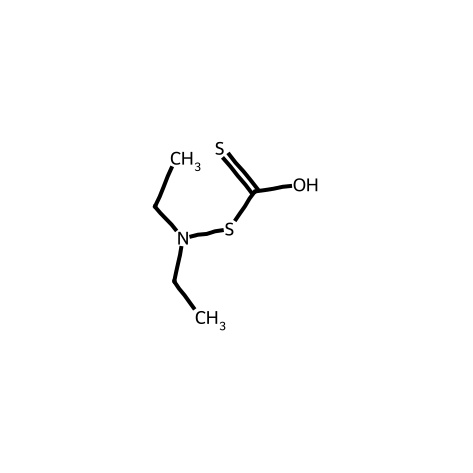 CCN(CC)SC(O)=S